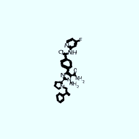 C=C(CN1CCC[C@H]1c1nc(-c2ccc(C(=O)Nc3cc(F)ccn3)cc2)c(C(N)=O)n1N)c1ccccc1